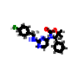 C[C@H](Nc1nccc(N2C(=O)OC(C)(C)[C@H]2c2ccccc2)n1)c1ccc(F)cc1